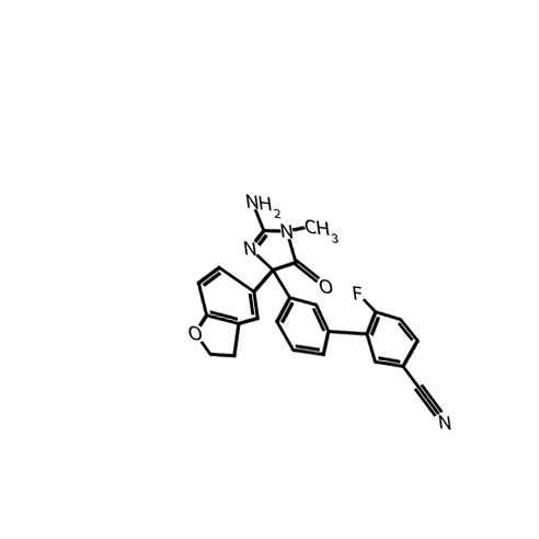 CN1C(=O)C(c2cccc(-c3cc(C#N)ccc3F)c2)(c2ccc3c(c2)CCO3)N=C1N